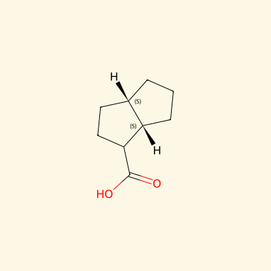 O=C(O)C1CC[C@@H]2CCC[C@H]12